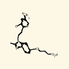 Cc1nc2ccc(OCCCC(=O)O)cc2n1CCc1ncc(C(F)(F)F)cc1Cl